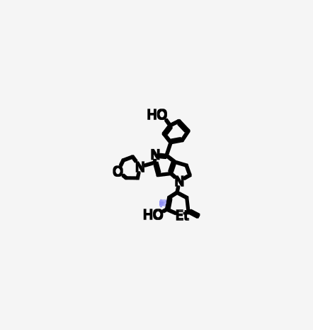 C=CCC(/C=C(/O)CC)N1CCc2c1cc(N1CCOCC1)nc2-c1cccc(O)c1